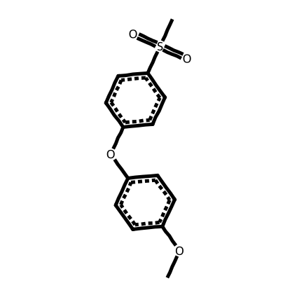 COc1ccc(Oc2ccc(S(C)(=O)=O)cc2)cc1